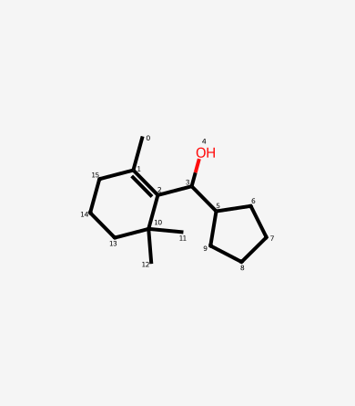 CC1=C(C(O)C2CCCC2)C(C)(C)CCC1